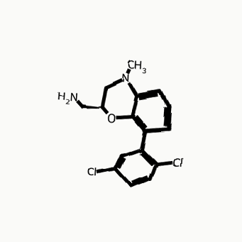 CN1C[C@H](CN)Oc2c(-c3cc(Cl)ccc3Cl)cccc21